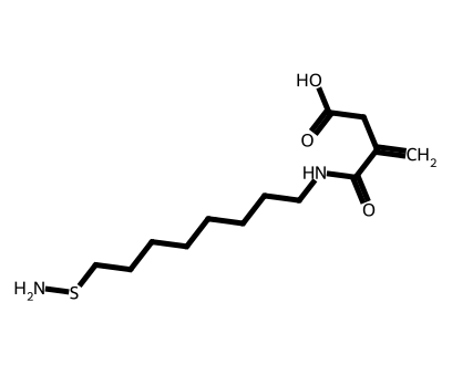 C=C(CC(=O)O)C(=O)NCCCCCCCCSN